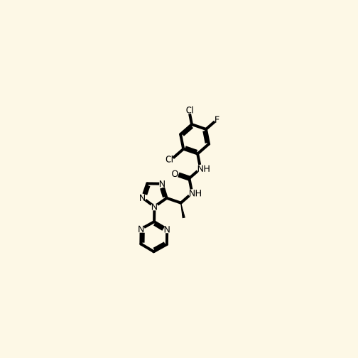 C[C@H](NC(=O)Nc1cc(F)c(Cl)cc1Cl)c1ncnn1-c1ncccn1